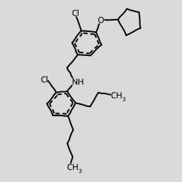 CCCCc1ccc(Cl)c(NCc2ccc(OC3CCCC3)c(Cl)c2)c1CCC